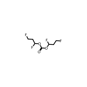 O=C(OC(F)CCF)OC(F)CCF